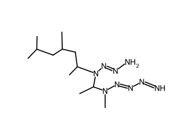 CC(C)CC(C)CC(C)N(/N=N/N)C(C)N(C)/N=N/N=N